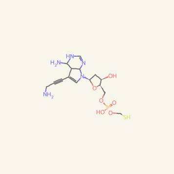 NCC#CC1=CN([C@H]2C[C@@H](O)[C@@H](COP(=O)(O)OCS)O2)C2N=CNC(N)C12